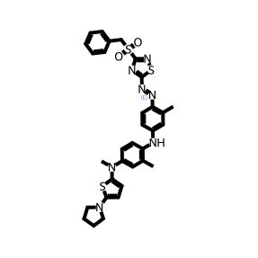 Cc1cc(Nc2ccc(N(C)c3ccc(N4CCCC4)s3)cc2C)ccc1/N=N/c1nc(S(=O)(=O)Cc2ccccc2)ns1